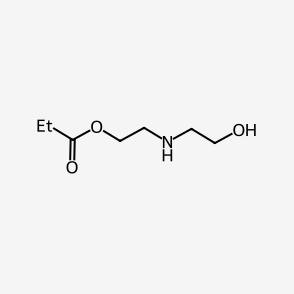 CCC(=O)OCCNCCO